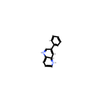 c1ccc(-c2cnc3cccnc3c2)cc1